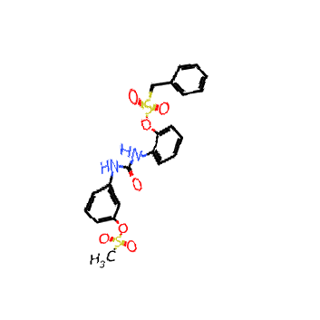 CS(=O)(=O)Oc1cccc(NC(=O)Nc2ccccc2OS(=O)(=O)Cc2ccccc2)c1